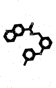 Cc1cccc(Oc2cccc(CNC(=O)c3ccc4ncccc4c3)c2)c1